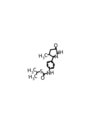 CC(C)SC(=O)Nc1ccc(C2=NNC(=O)CC2C)cc1